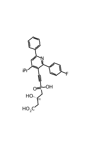 CC(C)c1cc(-c2ccccc2)nc(-c2ccc(F)cc2)c1C#CP(=O)(O)C[C@@H](O)CC(=O)O